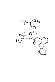 CC(C)COC(=O)CC(C(=O)OCC(C)C)c1cccc2c1Cc1ccccc1-2